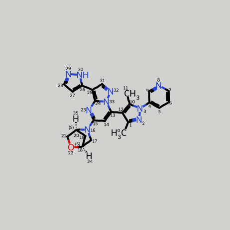 Cc1nn(-c2cccnc2)c(C)c1-c1cc(N2C[C@@H]3C[C@H]2CO3)nc2c(-c3ccn[nH]3)cnn12